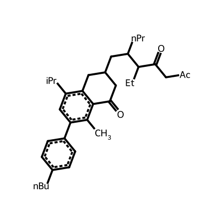 CCCCc1ccc(-c2cc(C(C)C)c3c(c2C)C(=O)CC(CC(CCC)C(CC)C(=O)CC(C)=O)C3)cc1